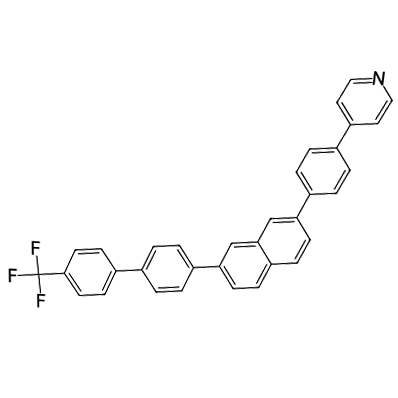 FC(F)(F)c1ccc(-c2ccc(-c3ccc4ccc(-c5ccc(-c6ccncc6)cc5)cc4c3)cc2)cc1